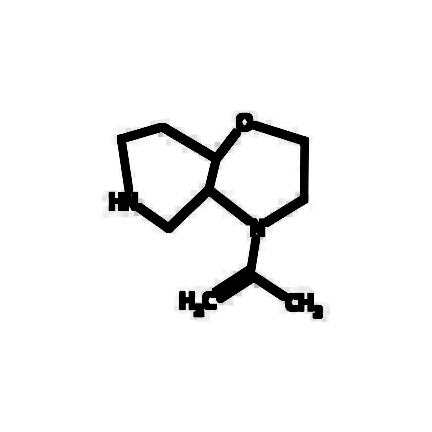 C=C(C)N1CCOC2CCNCC21